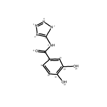 O=C(NC1=NN=N[N]1)c1ccc(O)c(O)c1